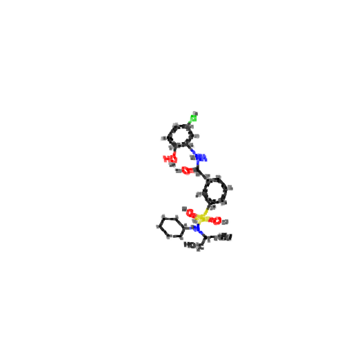 CC(C)(C)C(C(=O)O)N(C1CCCCC1)S(=O)(=O)c1cccc(C(=O)Nc2cc(Cl)ccc2O)c1